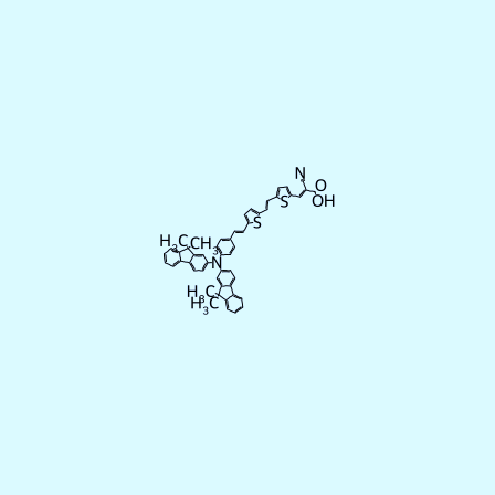 CC1(C)c2ccccc2-c2ccc(N(c3ccc(/C=C/c4ccc(/C=C/c5ccc(/C=C(\C#N)C(=O)O)s5)s4)cc3)c3ccc4c(c3)C(C)(C)c3ccccc3-4)cc21